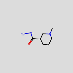 CN1CCC[C@@H](C(=O)NN)C1